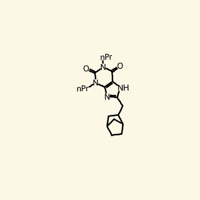 CCCn1c(=O)c2[nH]c(CC3CC4CCC3C4)nc2n(CCC)c1=O